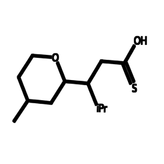 CC1CCOC(C(CC(O)=S)C(C)C)C1